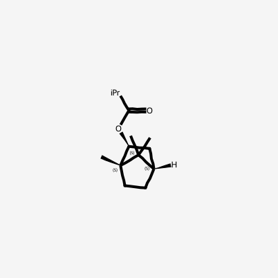 CC(C)C(=O)O[C@H]1C[C@@H]2CC[C@@]1(C)C2(C)C